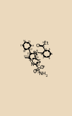 CCC(=O)c1ccccc1Br.Cc1c(-c2ccccc2)nc2sc(S(N)(=O)=O)nn12